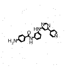 Nc1ccc(C(=O)Nc2cccc(Nc3cc(-c4ccncc4)ncn3)c2)cc1